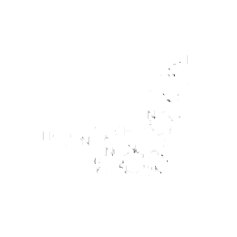 C[C@@H]1CN(C(=O)O)C[C@H](C)N1c1ncc2[nH]nc(-c3ccc(N4CCN(C)CC4)nc3)c2n1